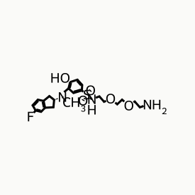 CN(Cc1cc(S(=O)(=O)NCCOCCOCCN)ccc1O)[C@H]1Cc2ccc(F)cc2C1